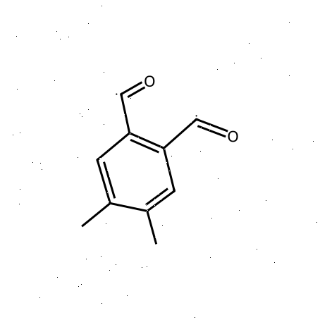 Cc1cc([C]=O)c([C]=O)cc1C